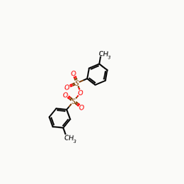 Cc1cccc(S(=O)(=O)OS(=O)(=O)c2cccc(C)c2)c1